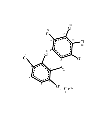 [Cu+2].[O-]c1ccc(Cl)c(Cl)c1Cl.[O-]c1ccc(Cl)c(Cl)c1Cl